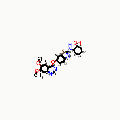 COc1cc2ncnc(Oc3ccc4nc(N[C@@H]5CCCC[C@H]5O)sc4c3)c2cc1OC